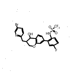 O=S(=O)(Nc1ccc(F)cc1-c1ccc2c(c1)OCC(Cc1ccc(Br)cn1)C2O)C(F)(F)F